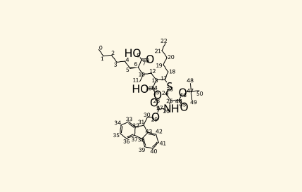 CCCCCC[C@@H](C(=O)O)C(C)CC(C(=O)O)C(CCCCC)SC[C@H](NC(=O)OCC1c2ccccc2-c2ccccc21)C(=O)OC(C)(C)C